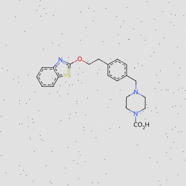 O=C(O)N1CCN(Cc2ccc(CCOc3nc4ccccc4s3)cc2)CC1